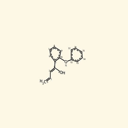 C=CC=C(O)c1ccccc1Oc1ccccc1